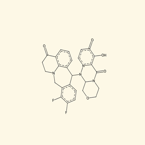 O=C1CCN2Cc3c(ccc(F)c3F)C(N3C4COCCN4C(=O)c4c(O)c(=O)ccn43)c3cccc1c32